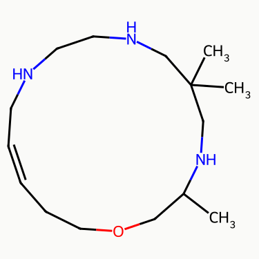 CC1COCCC=CCNCCNCC(C)(C)CN1